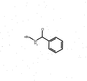 CCC[CH2][SnH2][CH](Cl)c1ccccc1